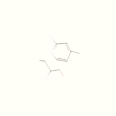 Cc1ccnc(N)c1.NC(CO)CC(=O)O